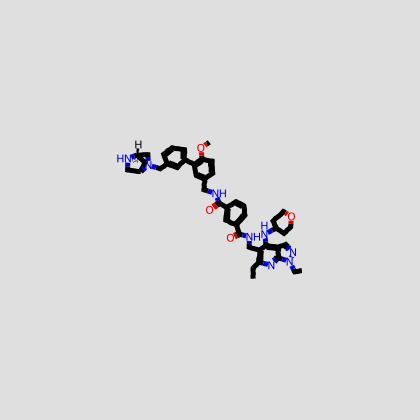 CCc1nc2c(cnn2CC)c(NC2CCOCC2)c1CNC(=O)c1cccc(C(=O)NCc2ccc(OC)c(-c3cccc(CN4C[C@@H]5CC4CN5)c3)c2)c1